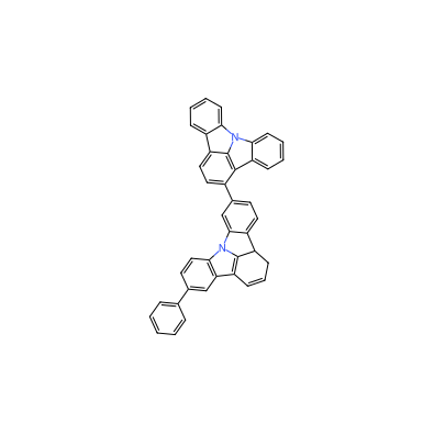 C1=Cc2c3n(c4ccc(-c5ccccc5)cc24)-c2cc(-c4ccc5c6ccccc6n6c7ccccc7c4c56)ccc2C3C1